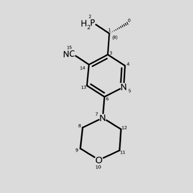 C[C@@H](P)c1cnc(N2CCOCC2)cc1C#N